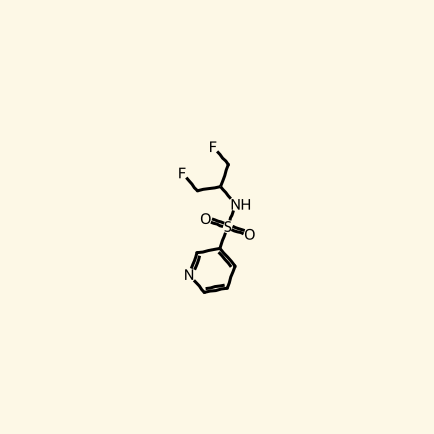 O=S(=O)(NC(CF)CF)c1cccnc1